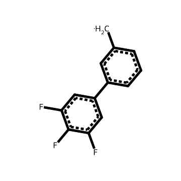 [CH2]c1cccc(-c2cc(F)c(F)c(F)c2)c1